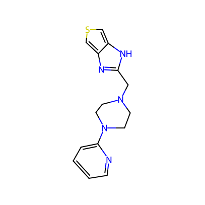 c1ccc(N2CCN(Cc3nc4cscc4[nH]3)CC2)nc1